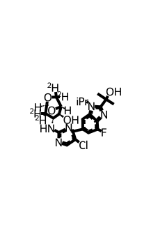 [2H]C1([2H])O[C@H]2O[C@@H]1[C@@H](O)[C@H](Nc1ncc(Cl)c(-c3cc(F)c4nc(C(C)(C)O)n(C(C)C)c4c3)n1)C2([2H])[2H]